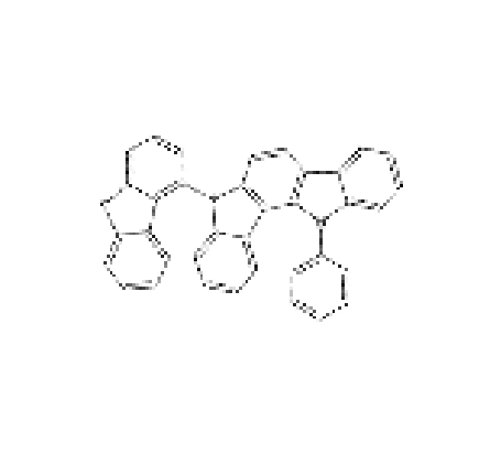 c1ccc(-n2c3ccccc3c3ccc4c(c5ccccc5n4-c4cccc5sc6ccccc6c45)c32)cc1